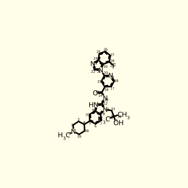 CN1CCC(c2ccc3c(c2)[nH]/c(=N\C(=O)c2ccnc(-n4cnc5cccc(F)c54)c2)n3CC(C)(C)O)CC1